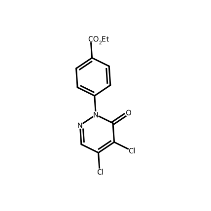 CCOC(=O)c1ccc(-n2ncc(Cl)c(Cl)c2=O)cc1